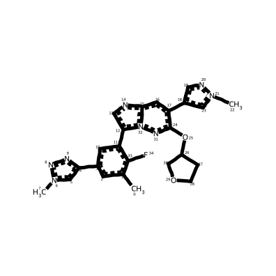 Cc1cc(-c2cn(C)nn2)cc(-c2cnc3cc(-c4cnn(C)c4)c(OC4CCOC4)nn23)c1F